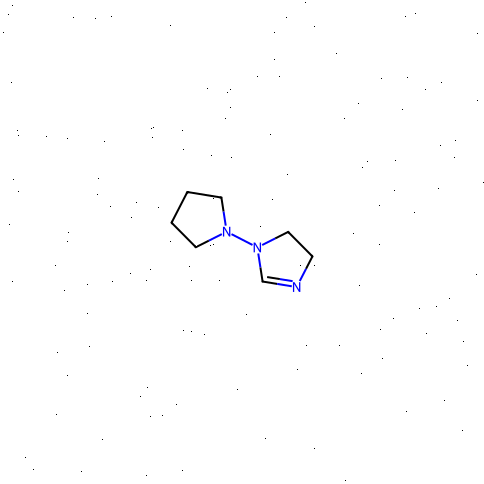 C1=NCCN1N1CCCC1